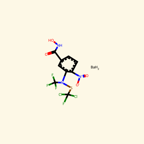 O=C(NO)c1ccc([N+](=O)[O-])c(N(SC(F)(Cl)Cl)C(F)(F)F)c1.[BaH2]